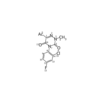 CC(=O)c1nn(C)c(=O)n(-c2ccc(F)cc2Cl)c1=O